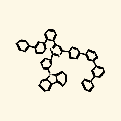 c1ccc(-c2cccc(-c3cccc(-c4ccc(-c5cc(-c6ccccc6-c6cccc(-c7ccccc7)c6)nc(-c6cccc(-n7c8ccccc8c8ccccc87)c6)n5)cc4)c3)c2)cc1